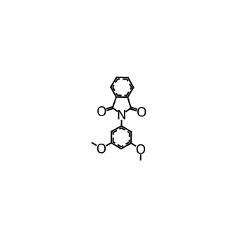 COc1cc(OC)cc(N2C(=O)c3ccccc3C2=O)c1